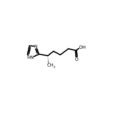 C[C@@H](CCCC(=O)O)c1ncc[nH]1